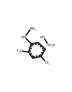 NNc1ccc(C(F)(F)F)cc1C(F)(F)F.O=S(=O)(O)O